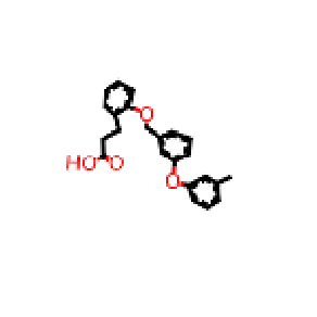 Cc1cccc(Oc2cccc(COc3ccccc3CCC(=O)O)c2)c1